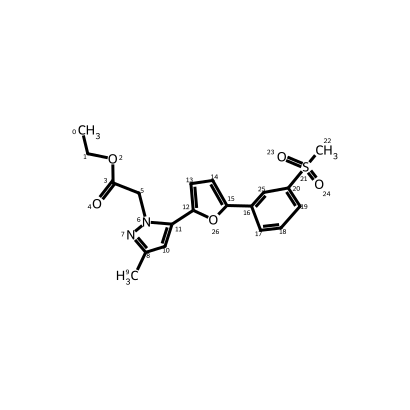 CCOC(=O)Cn1nc(C)cc1-c1ccc(-c2cccc(S(C)(=O)=O)c2)o1